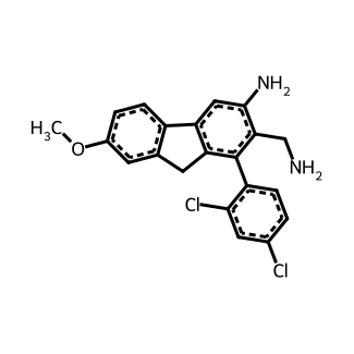 COc1ccc2c(c1)Cc1c-2cc(N)c(CN)c1-c1ccc(Cl)cc1Cl